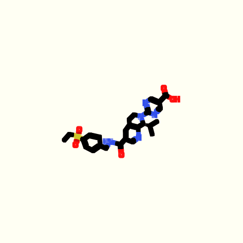 CCS(=O)(=O)c1ccc(CNC(=O)c2cnc3c(c2)CCN(c2ncc(C(=O)O)cn2)[C@@H]3C(C)C)cc1